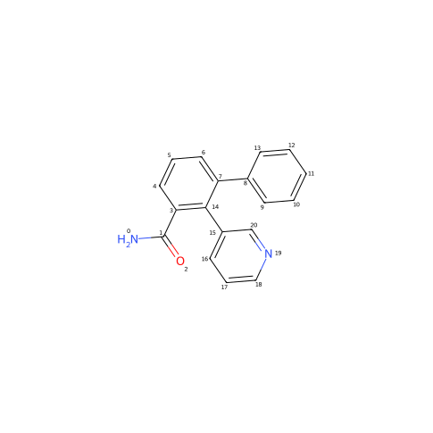 NC(=O)c1cccc(-c2ccccc2)c1-c1cccnc1